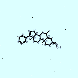 CC1CC2C(CC[C@]3(C)C(c4cccnc4)=CCC23)[C@@]2(C)CCC(=NO)C=C12